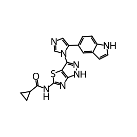 O=C(Nc1nc2[nH]nc(-n3cncc3-c3ccc4[nH]ccc4c3)c2s1)C1CC1